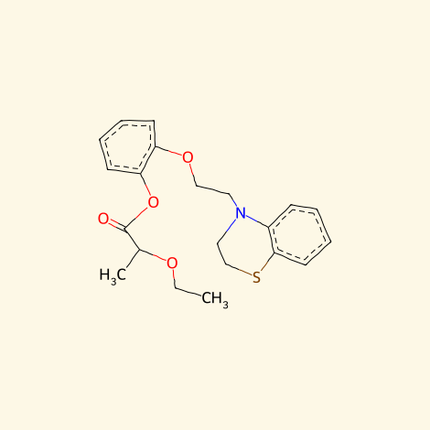 CCOC(C)C(=O)Oc1ccccc1OCCN1CCSc2ccccc21